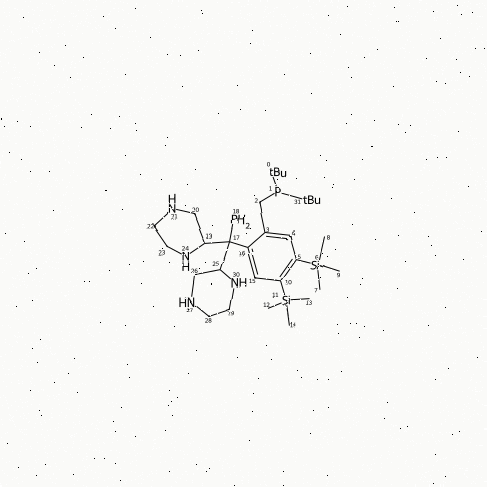 CC(C)(C)P(Cc1cc([Si](C)(C)C)c([Si](C)(C)C)cc1C(P)(C1CNCCN1)C1CNCCN1)C(C)(C)C